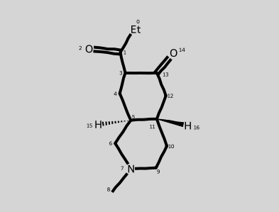 CCC(=O)C1C[C@@H]2CN(C)CC[C@H]2CC1=O